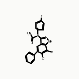 NC(=O)N(c1ccc(F)cc1)c1n[nH]c2c(F)c(Cl)c(-c3ccccc3)cc12